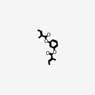 C/C=C(\C)C(=O)Oc1cccc(OC(=O)/C(C)=C/C)c1